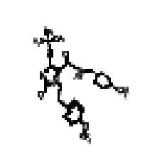 CC(C)(O)C#Cc1nc(Cl)n(CCc2ccc(OC(F)(F)F)cc2)c1C(=O)NC[C@H]1CC[C@H](C(=O)O)CC1